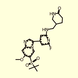 COc1cc2ncc(-c3cc(F)nc(NCC4CCC(=O)NC4)c3)n2cc1S(=O)(=O)C(C)(C)C